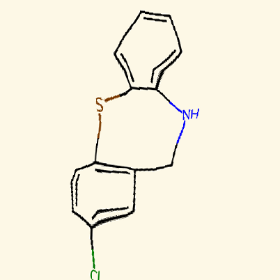 Clc1ccc2c(c1)CNc1ccccc1S2